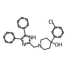 OC1(c2cccc(Cl)c2)CCN(Cc2nc(-c3ccccc3)c(-c3ccccc3)[nH]2)CC1